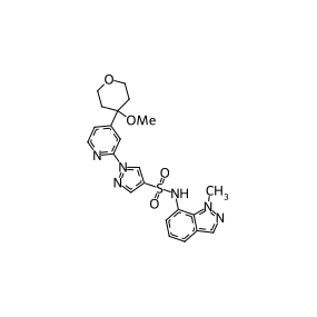 COC1(c2ccnc(-n3cc(S(=O)(=O)Nc4cccc5cnn(C)c45)cn3)c2)CCOCC1